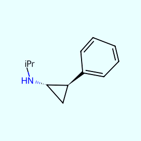 CC(C)N[C@H]1C[C@@H]1c1ccccc1